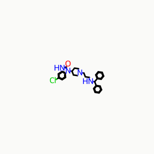 O=c1[nH]c2cc(Cl)ccc2n1C1CCN(CCCNC(c2ccccc2)c2ccccc2)CC1